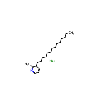 CCCCCCCCCCCCCCc1cccnc1C.Cl